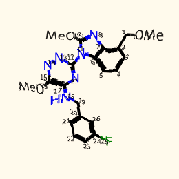 COCc1cccc2c1nc(OC)n2-c1nnc(OC)c(NCc2cccc(F)c2)n1